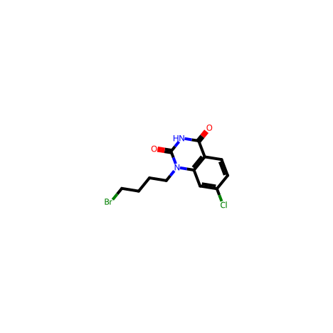 O=c1[nH]c(=O)n(CCCCBr)c2cc(Cl)ccc12